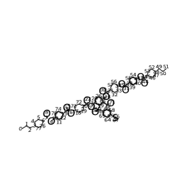 CCC[C@H]1CC[C@H](C(=O)Oc2ccc(C(=O)OC3CCC(C(=O)Oc4ccc(OC(=O)C5CCC(OC(=O)c6ccc(OC(=O)[C@H]7CC[C@H](CCC)CC7)cc6)CC5)c5c4C(=O)c4ccc(SC)cc4C5=O)CC3)cc2)CC1